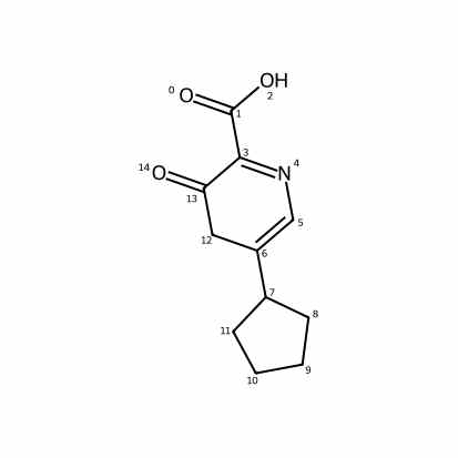 O=C(O)C1=NC=C(C2CCCC2)CC1=O